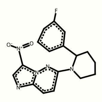 O=[N+]([O-])c1cnc2ccc(N3CCCCC3c3cccc(F)c3)nn12